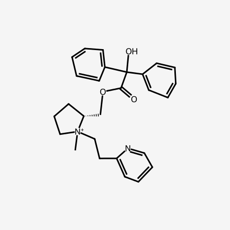 C[N+]1(CCc2ccccn2)CCC[C@@H]1COC(=O)C(O)(c1ccccc1)c1ccccc1